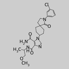 COCC(C)NC(=O)c1ncn(C2CCC3(CC2)CCN(c2cccc(Cl)c2)C3=O)c1C(N)=O